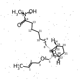 CC=CCOC[C@@H]1[C@H](CSCCCCC(=O)N(C)O)[C@@H]2CC[C@H]1O2